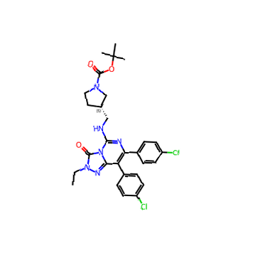 CCn1nc2c(-c3ccc(Cl)cc3)c(-c3ccc(Cl)cc3)nc(NC[C@@H]3CCN(C(=O)OC(C)(C)C)C3)n2c1=O